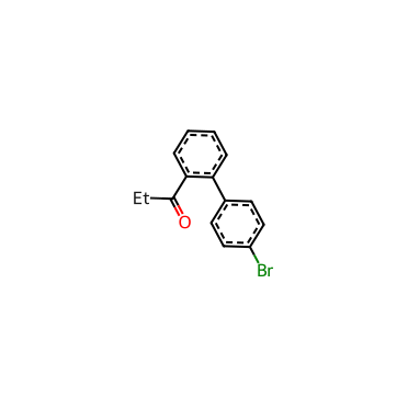 CCC(=O)c1ccccc1-c1ccc(Br)cc1